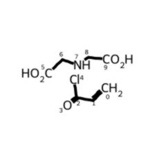 C=CC(=O)Cl.O=C(O)CNCC(=O)O